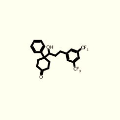 O=C1CCC(c2ccccc2)(C(O)CCc2cc(C(F)(F)F)cc(C(F)(F)F)c2)CC1